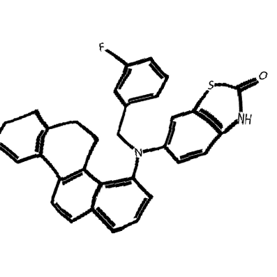 O=c1[nH]c2ccc(N(Cc3cccc(F)c3)c3cccc4ccc5c(c34)CCC3=C5C=CCC3)cc2s1